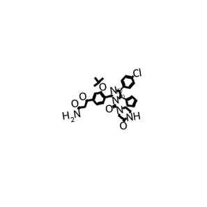 CC(C)(C)Oc1cc(C(=O)CC(N)=O)ccc1C1=N[C@@H](c2ccc(Cl)cc2)[C@@H](C2=CC=CC2)N1C(=O)N1CCNC(=O)C1